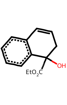 CCOC(=O)C1(O)CC=Cc2ccccc21